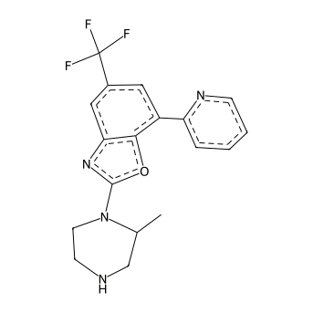 CC1CNCCN1c1nc2cc(C(F)(F)F)cc(-c3ccccn3)c2o1